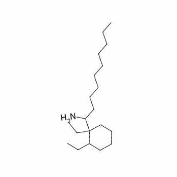 CCCCCCCCCC(N)C1(CC)CCCCC1CC